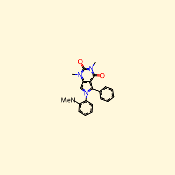 CNc1ccccc1-n1cc2c(c1-c1ccccc1)c(=O)n(C)c(=O)n2C